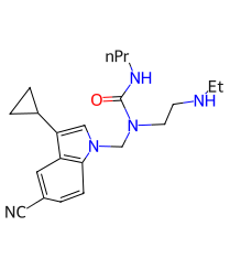 CCCNC(=O)N(CCNCC)Cn1cc(C2CC2)c2cc(C#N)ccc21